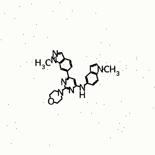 Cn1ccc2cc(Nc3cc(-c4ccc5cnn(C)c5c4)nc(N4CCOCC4)n3)ccc21